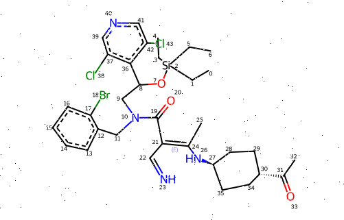 CC[Si](CC)(CC)OC(CN(Cc1ccccc1Br)C(=O)/C(C=N)=C(\C)N[C@H]1CC[C@H](C(C)=O)CC1)c1c(Cl)cncc1Cl